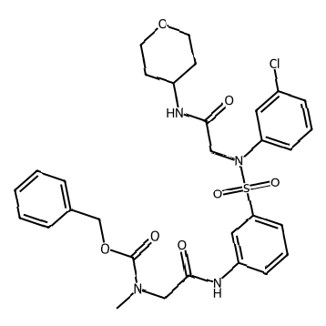 CN(CC(=O)Nc1cccc(S(=O)(=O)N(CC(=O)NC2CCOCC2)c2cccc(Cl)c2)c1)C(=O)OCc1ccccc1